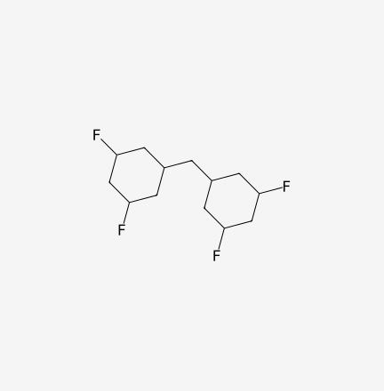 FC1CC(F)CC(CC2CC(F)CC(F)C2)C1